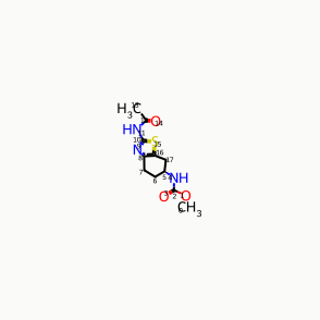 COC(=O)N[C@H]1CCc2nc(NC(C)=O)sc2C1